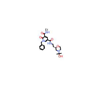 CCNC(=O)c1cc(C(=O)NCC[C@@H]2CN(C(C)(C)O)CCO2)cn(Cc2ccccc2)c1=O